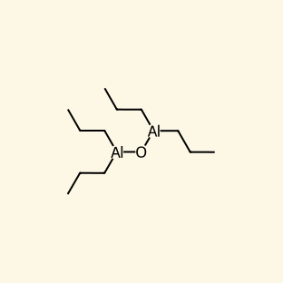 CC[CH2][Al]([CH2]CC)[O][Al]([CH2]CC)[CH2]CC